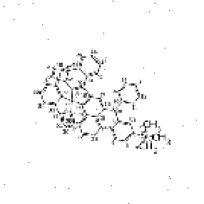 C[Si](C)(C)c1cccc(N(c2ccccc2)c2cc3c(c4ccccc24)C2(c4ccccc4-c4ccccc42)c2c-3c3ccccc3c3ccccc23)c1